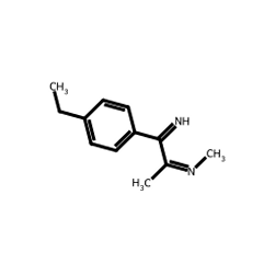 CCc1ccc(C(=N)/C(C)=N\C)cc1